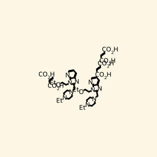 CCOCCn1c(CN2CCN(CC)CC2)nc2cccnc21.CCOCCn1c(CN2CCN(CC)CC2)nc2cccnc21.O=C(O)C=CC(=O)O.O=C(O)C=CC(=O)O.O=C(O)C=CC(=O)O